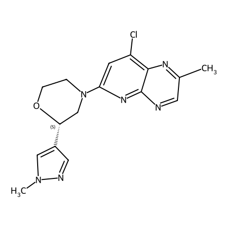 Cc1cnc2nc(N3CCO[C@@H](c4cnn(C)c4)C3)cc(Cl)c2n1